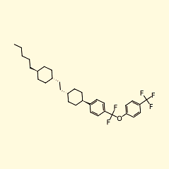 CCCCC[C@H]1CC[C@H](CC[C@H]2CC[C@H](c3ccc(C(F)(F)Oc4ccc(C(F)(F)F)cc4)cc3)CC2)CC1